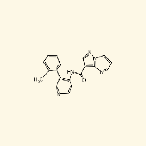 Cc1ccccc1-c1cnccc1NC(=O)c1cnn2cccnc12